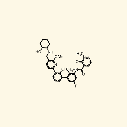 COc1nc(-c2cccc(-c3cc(F)cc(NC(=O)c4ccnn(C)c4=O)c3C)c2Cl)ccc1CN[C@@H]1CCCC[C@@H]1O